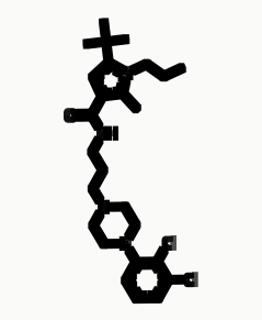 CCCn1c(C(C)(C)C)cc(C(=O)NCCCN2CCN(c3cccc(Cl)c3Cl)CC2)c1C